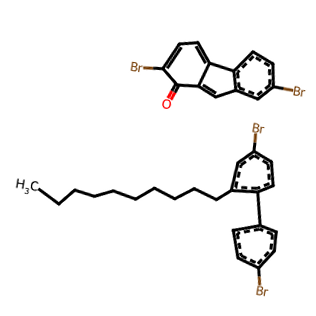 CCCCCCCCCCc1cc(Br)ccc1-c1ccc(Br)cc1.O=C1C(Br)=CC=C2C1=Cc1cc(Br)ccc12